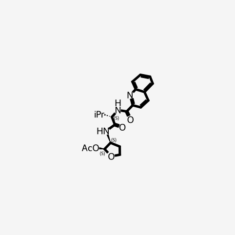 CC(=O)O[C@@H]1OCC[C@@H]1NC(=O)[C@@H](NC(=O)c1ccc2ccccc2n1)C(C)C